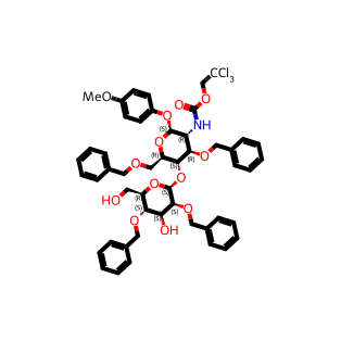 COc1ccc(O[C@@H]2O[C@H](COCc3ccccc3)[C@@H](O[C@@H]3O[C@H](CO)[C@@H](OCc4ccccc4)[C@H](O)[C@@H]3OCc3ccccc3)[C@H](OCc3ccccc3)[C@H]2NC(=O)OCC(Cl)(Cl)Cl)cc1